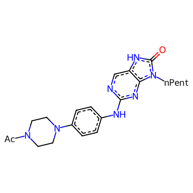 CCCCCn1c(=O)[nH]c2cnc(Nc3ccc(N4CCN(C(C)=O)CC4)cc3)nc21